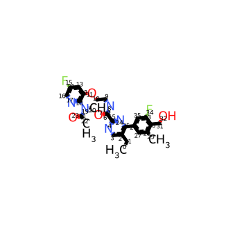 CCc1cnc(C(=O)/N=C\COc2cc(F)cnc2N(C)C(C)=O)nc1-c1cc(C)c(CO)c(F)c1